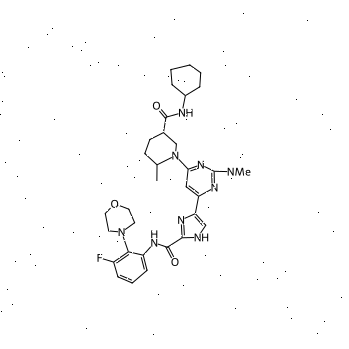 CNc1nc(-c2c[nH]c(C(=O)Nc3cccc(F)c3N3CCOCC3)n2)cc(N2CC(C(=O)NC3CCCCC3)CCC2C)n1